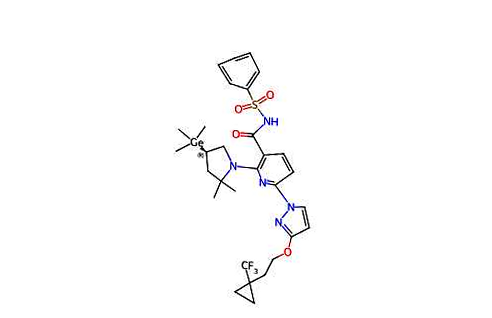 CC1(C)C[C@@H]([Ge]([CH3])([CH3])[CH3])CN1c1nc(-n2ccc(OCCC3(C(F)(F)F)CC3)n2)ccc1C(=O)NS(=O)(=O)c1ccccc1